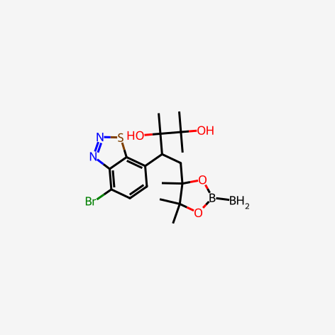 BB1OC(C)(C)C(C)(CC(c2ccc(Br)c3nnsc23)C(C)(O)C(C)(C)O)O1